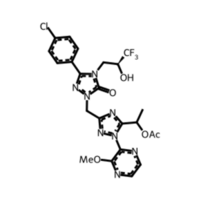 COc1nccnc1-n1nc(Cn2nc(-c3ccc(Cl)cc3)n(C[C@H](O)C(F)(F)F)c2=O)nc1C(C)OC(C)=O